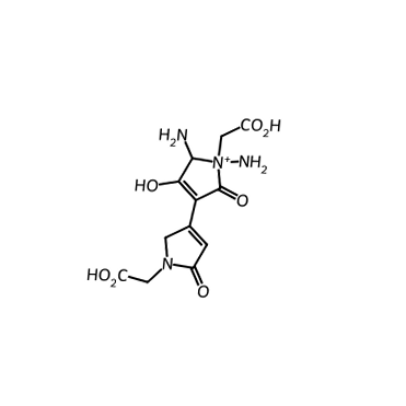 NC1C(O)=C(C2=CC(=O)N(CC(=O)O)C2)C(=O)[N+]1(N)CC(=O)O